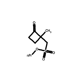 CCCOS(=O)(=O)CC1(C)CCC1=O